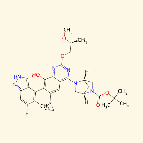 CO[C@@H](C)COc1nc(N2C[C@@H]3C[C@H]2CN3C(=O)OC(C)(C)C)c2cc(C3CC3)c(-c3c(C)c(F)cc4n[nH]cc34)c(O)c2n1